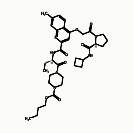 CCCCOC(=O)N1CCN(C(=O)[C@H](CC)NC(=O)c2cc(OCC(=O)N3CCC[C@H]3C(=O)NC3CCC3)c3ccc(C)cc3n2)CC1